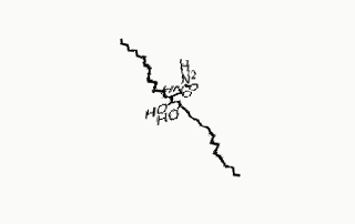 CCCCCCCCCCCCCCCC(O)CC(O)C(CCCCCCCCCCCCCC)C(=O)NC(N)=O